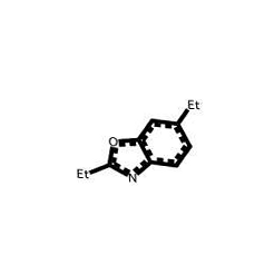 CCc1ccc2nc(CC)oc2c1